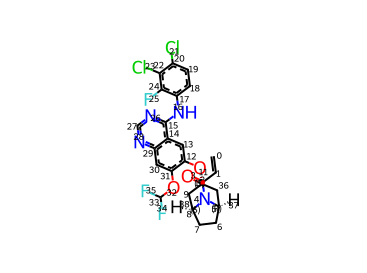 C=CC(=O)N1[C@@H]2CC[C@H]1C[C@H](Oc1cc3c(Nc4ccc(Cl)c(Cl)c4F)ncnc3cc1OC(F)F)C2